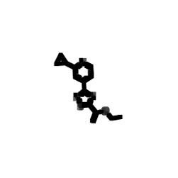 C=C(OCC)c1nc(-c2ccnc(C3CC3)c2)ns1